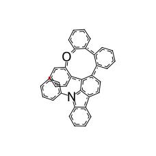 c1ccc(-n2c3ccccc3c3ccc4c5ccccc5c5ccccc5oc5ccccc5c4c32)cc1